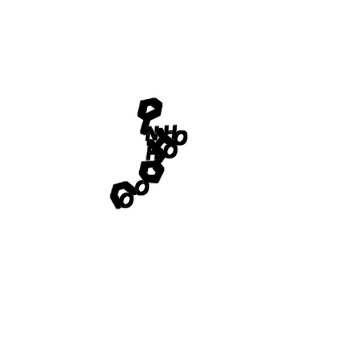 O=C1OC(c2ccc(OC3CCCCO3)cc2)[C@@H]2CN(Cc3ccccc3)C[C@H]12